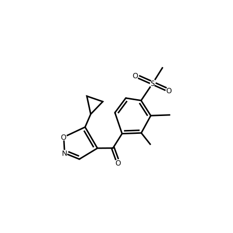 Cc1c(C(=O)c2cnoc2C2CC2)ccc(S(C)(=O)=O)c1C